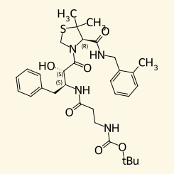 Cc1ccccc1CNC(=O)[C@H]1N(C(=O)[C@@H](O)[C@H](Cc2ccccc2)NC(=O)CCNC(=O)OC(C)(C)C)CSC1(C)C